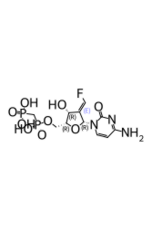 Nc1ccn([C@@H]2O[C@H](COP(=O)(O)CP(=O)(O)O)[C@H](O)/C2=C\F)c(=O)n1